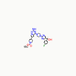 CC(C)(C)OC(=O)N1CC=C(c2c[nH]c(/C(=N\C=N)N3CCN(c4ncc([C@@](C)(O)c5ccc(F)cc5)cn4)CC3)c2)CC1